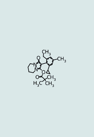 CCc1cc(C)cc(C2CC2)c1-c1c(OC(=O)C(C)(C)C)n2n(c1=O)CCCC2